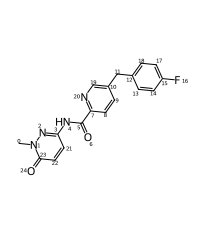 Cn1nc(NC(=O)c2ccc(Cc3ccc(F)cc3)cn2)ccc1=O